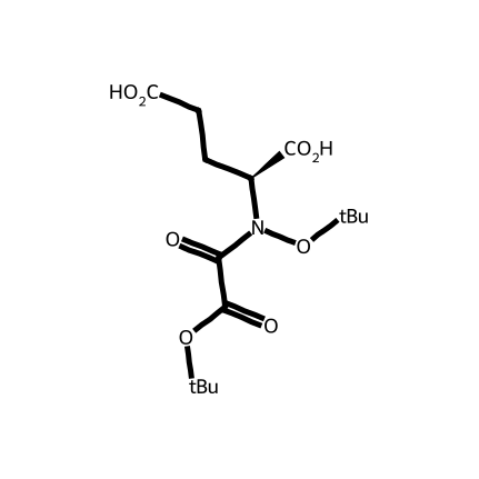 CC(C)(C)OC(=O)C(=O)N(OC(C)(C)C)[C@@H](CCC(=O)O)C(=O)O